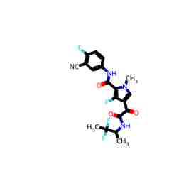 CC(NC(=O)C(=O)c1cn(C)c(C(=O)Nc2ccc(F)c(C#N)c2)c1F)C(C)(F)F